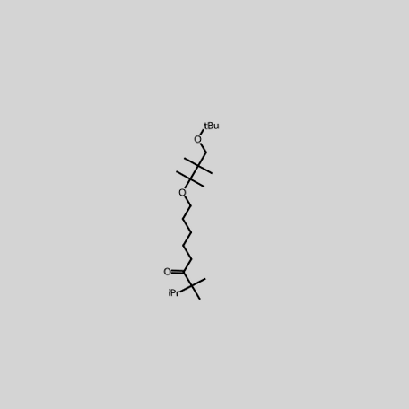 CC(C)C(C)(C)C(=O)CCCCCOC(C)(C)C(C)(C)COC(C)(C)C